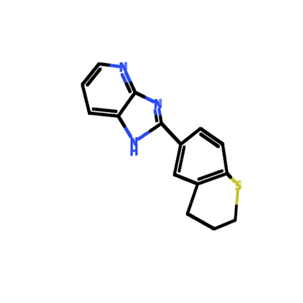 c1cnc2nc(-c3ccc4c(c3)CCCS4)[nH]c2c1